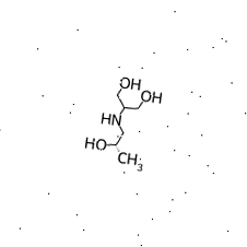 C[C@H](O)CNC(CO)CO